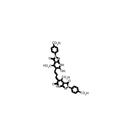 O=C(O)c1ccc(N2N=c3[nH]c(=O)c(=CC=Cc4c(O)[nH]c5nn(-c6ccc(C(=O)O)cc6)c(=O)c-5c4C(=O)O)c(C(=O)O)c3C2=O)cc1